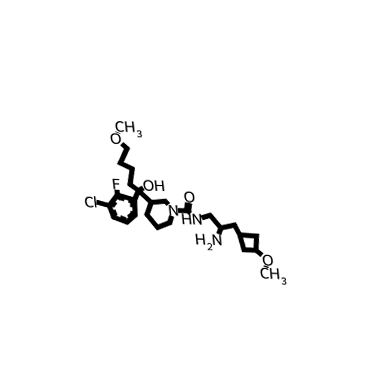 COCCCCC(O)(c1cccc(Cl)c1F)C1CCCN(C(=O)NCC(N)CC2CC(OC)C2)C1